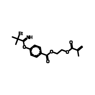 C=C(C)C(=O)OCCOC(=O)c1ccc(OC(=N)C(C)(C)CC)cc1